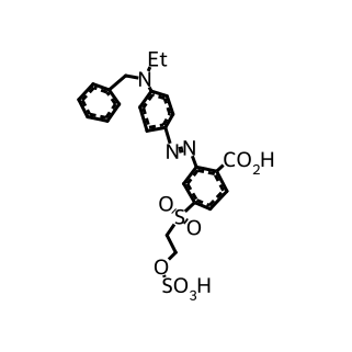 CCN(Cc1ccccc1)c1ccc(/N=N/c2cc(S(=O)(=O)CCOS(=O)(=O)O)ccc2C(=O)O)cc1